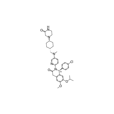 COc1cc2c(cc1OC(C)C)[C@H](c1ccc(Cl)cc1)N(c1ccc(N(C)C[C@H]3CC[C@H](N4CCNC(=O)C4)CC3)cn1)C(=O)C2